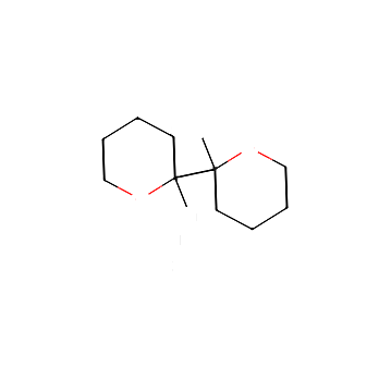 [H+].[H+].[SiH3]C1(C2([SiH3])CCCCO2)CCCCO1